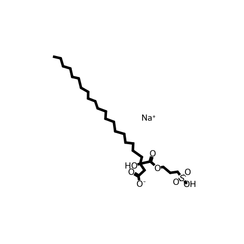 CCCCCCCCCCCCCCCCCCCCC(O)(CC(=O)[O-])C(=O)OCCCS(=O)(=O)O.[Na+]